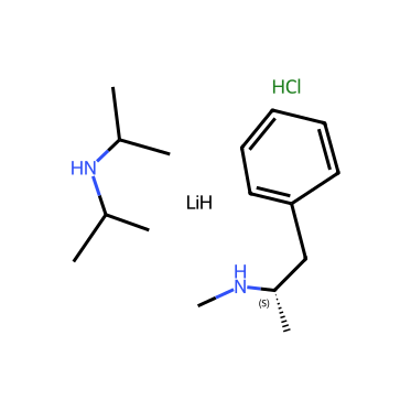 CC(C)NC(C)C.CN[C@@H](C)Cc1ccccc1.Cl.[LiH]